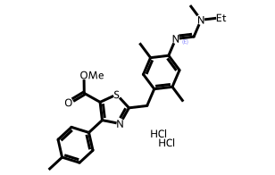 CCN(C)/C=N/c1cc(C)c(Cc2nc(-c3ccc(C)cc3)c(C(=O)OC)s2)cc1C.Cl.Cl